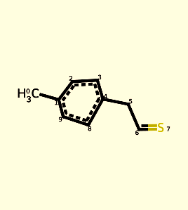 Cc1ccc(CC=S)cc1